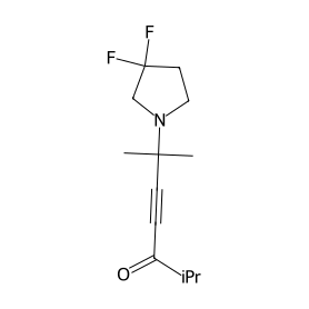 CC(C)C(=O)C#CC(C)(C)N1CCC(F)(F)C1